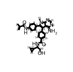 C=C(C)C(=O)Nc1ccc(-c2c(-c3ccc(C(=O)NC(CO)C4CC4)cc3)c3c(N)ncnc3n2C)cc1